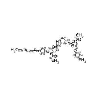 C=CC(=O)OCC(COc1ccc(C)cc1)OC(=O)NCC1CCCC(CNC(=O)OC(COC(=O)C=C)COc2ccc(C#CC#CC#CC#CC)cc2)C1